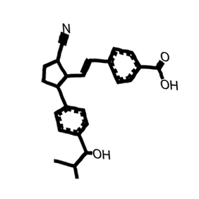 CC(C)C(O)c1ccc(C2CCC(C#N)C2/C=C/c2ccc(C(=O)O)cc2)cc1